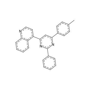 Cc1ccc(-c2cc(-c3ccnc4ccccc34)nc(-c3ccccc3)n2)cc1